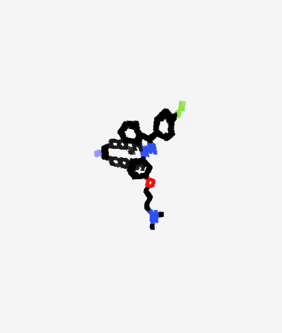 CN(C)CCCOc1cccc(-n2nc(-c3ccc(F)cc3)c3ccccc32)c1.O=C(O)/C=C\C(=O)O